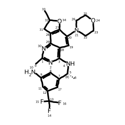 Cc1nc(N[C@H](C)c2cc(N)cc(C(F)(F)F)c2)c2cc(N3CCOCC3)c3c(c2n1)CC(C)O3